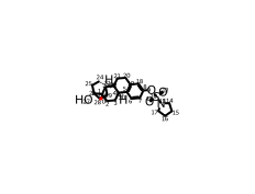 C[C@]12CC[C@@H]3c4ccc(OS(=O)(=O)N5CCCC5)cc4CC[C@H]3[C@]13CC[C@]2(O)CC3